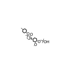 COc1cc(N2CCC(C)(Oc3ccc(C)cc3)C2=O)ccc1OCC(C)(C)O